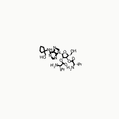 CC(C)[C@H](N)C(=O)O[C@@H]1[C@H](OC(=O)[C@@H](N)C(C)C)[C@@H](CO)O[C@H]1n1cnc2c(NC3(CO)CCCC3)ncnc21